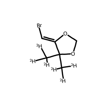 [2H]C([2H])([2H])C1(C([2H])([2H])[2H])OCOC1=CBr